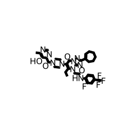 CCc1c(N2CCN(C(=O)c3ncnc(C)c3O)CC2)c(=O)n2nc(C3=CCCCCC3)nc2n1CC(=O)Nc1ccc(C(F)(F)F)cc1F